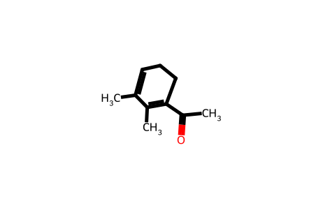 CC(=O)C1=C(C)C(C)=CCC1